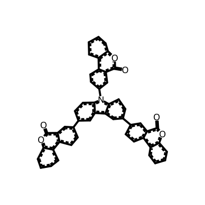 O=c1oc2ccccc2c2ccc(-c3ccc4c(c3)c3cc(-c5ccc6c(c5)c(=O)oc5ccccc56)ccc3n4-c3ccc4c(c3)c(=O)oc3ccccc34)cc12